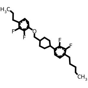 CCCCCc1ccc(C2CCC(COc3ccc(CCC)c(F)c3F)CC2)c(F)c1F